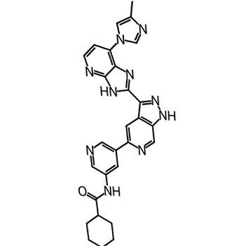 Cc1cn(-c2ccnc3[nH]c(-c4n[nH]c5cnc(-c6cncc(NC(=O)C7CCCCC7)c6)cc45)nc23)cn1